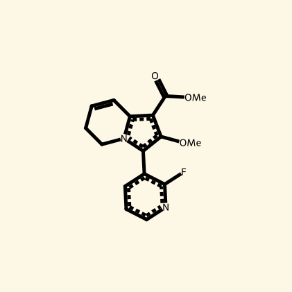 COC(=O)c1c(OC)c(-c2cccnc2F)n2c1C=CCC2